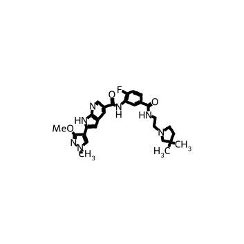 COc1nn(C)cc1-c1cc2cc(C(=O)Nc3cc(C(=O)NCCN4CCC(C)(C)C4)ccc3F)cnc2[nH]1